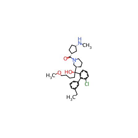 CCc1cccc(-c2c(Cl)cccc2[C@](O)(CCCCOC)[C@@H]2CCCN(C(=O)[C@@H]3CC[C@H](NC)C3)C2)c1